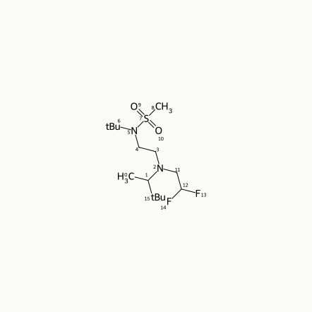 CC(N(CCN(C(C)(C)C)S(C)(=O)=O)CC(F)F)C(C)(C)C